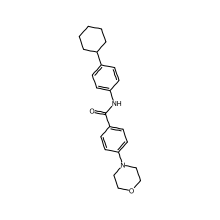 O=C(Nc1ccc(C2CCCCC2)cc1)c1ccc(N2CCOCC2)cc1